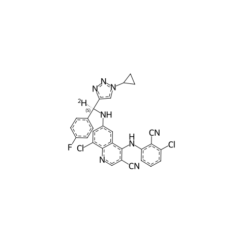 [2H][C@](Nc1cc(Cl)c2ncc(C#N)c(Nc3cccc(Cl)c3C#N)c2c1)(c1ccc(F)cc1)c1cn(C2CC2)nn1